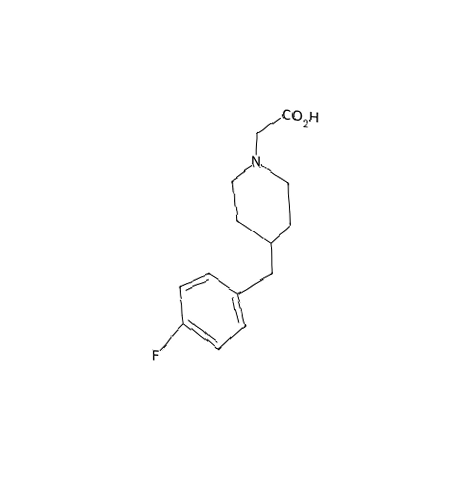 O=C(O)CN1CCC(Cc2ccc(F)cc2)CC1